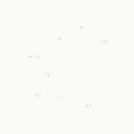 CNCc1[nH]c(C(=O)OC)c(/C=C/C(=O)OC)c1-c1ccc(CO)c(CO)c1CO